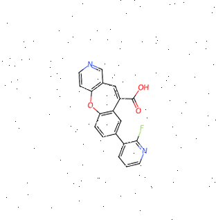 O=C(O)C1=Cc2cnccc2Oc2ccc(-c3cccnc3F)cc21